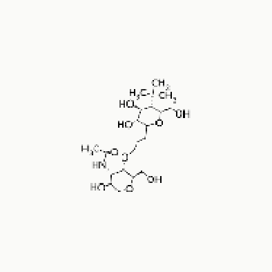 CC(=O)N[C@@H]1[C@H](OCCCC2O[C@H](CO)[C@@H](C(C)(C)C)[C@H](O)[C@H]2O)[C@@H](CO)OC[C@H]1O